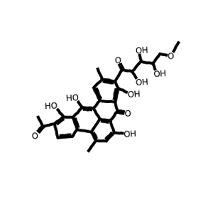 COCC(O)C(O)C(O)C(=O)c1c(C)cc2c(c1O)C(=O)c1c(O)cc(C)c3c1c-2c(O)c1c(O)c(C(C)=O)ccc13